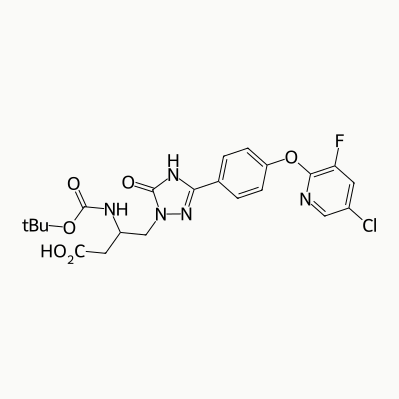 CC(C)(C)OC(=O)NC(CC(=O)O)Cn1nc(-c2ccc(Oc3ncc(Cl)cc3F)cc2)[nH]c1=O